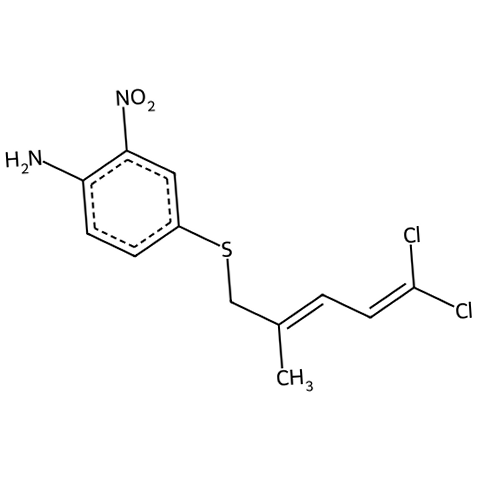 CC(=CC=C(Cl)Cl)CSc1ccc(N)c([N+](=O)[O-])c1